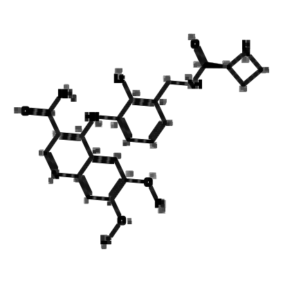 CCOc1cc2ncc(C(N)=O)c(Nc3cccc(CNC(=O)[C@@H]4CCN4)c3CC)c2cc1OCC